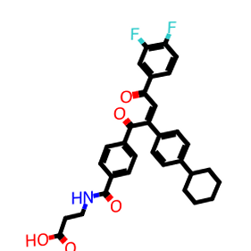 O=C(O)CCNC(=O)c1ccc(C(=O)/C(=C\C(=O)c2ccc(F)c(F)c2)c2ccc(C3CCCCC3)cc2)cc1